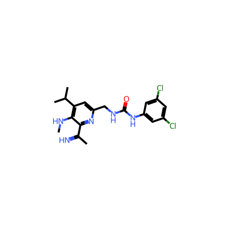 CNc1c(C(C)C)cc(CNC(=O)Nc2cc(Cl)cc(Cl)c2)nc1C(C)=N